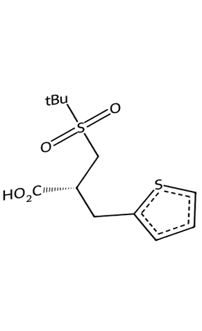 CC(C)(C)S(=O)(=O)C[C@H](Cc1cccs1)C(=O)O